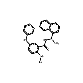 CCNc1ccc(Nc2ccncc2)cc1C(=O)N[C@H](C)c1cccc2ccccc12